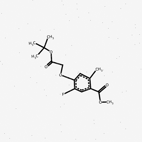 COC(=O)c1cc(F)c(OCC(=O)OC(C)(C)C)cc1C